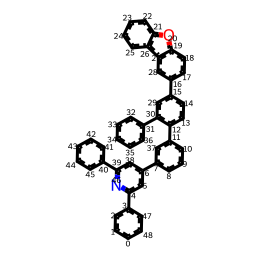 c1ccc(-c2cc(-c3cccc(-c4ccc(-c5ccc6oc7ccccc7c6c5)cc4-c4ccccc4)c3)cc(-c3ccccc3)n2)cc1